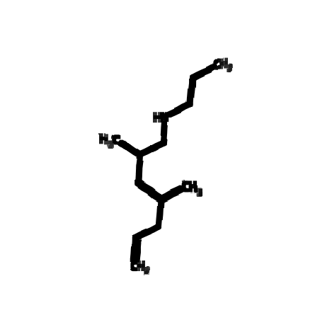 C=CCC(C)CC(C)CNCCC